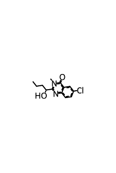 CCC[C@H](O)c1nc2ccc(Cl)cc2c(=O)n1C